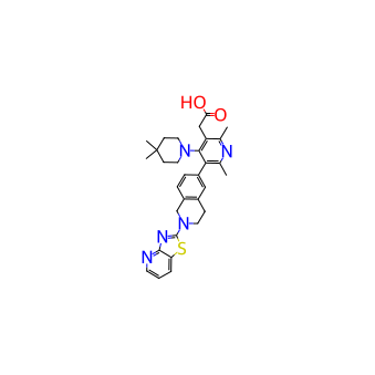 Cc1nc(C)c(-c2ccc3c(c2)CCN(c2nc4ncccc4s2)C3)c(N2CCC(C)(C)CC2)c1CC(=O)O